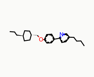 CCCCc1ccc(-c2ccc(OC[C@H]3CC[C@H](CCC)CC3)cc2)nc1